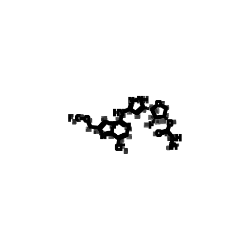 CC(C)NC(=O)O[C@H]1CO[C@@H](c2cc(Nc3ncc(C(F)(F)F)c4nc(COC(F)(F)F)cn34)n[nH]2)[C@H]1F